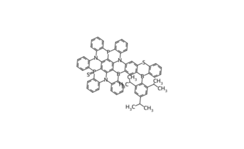 CC(C)c1cc(C(C)C)c(B2c3ccccc3Sc3cc4c(cc32)B2c3ccccc3N3c5ccccc5P5(=S)c6ccccc6N6c7ccccc7P7c8ccccc8N4c4c2c3c5c6c47)c(C(C)C)c1